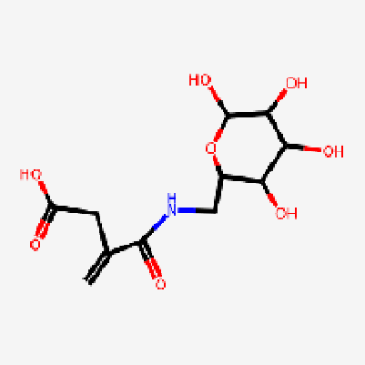 C=C(CC(=O)O)C(=O)NCC1OC(O)C(O)C(O)C1O